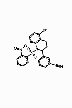 N#Cc1cccc(C2CCc3c(Br)cccc3N2S(=O)(=O)c2ccccc2[N+](=O)[O-])c1